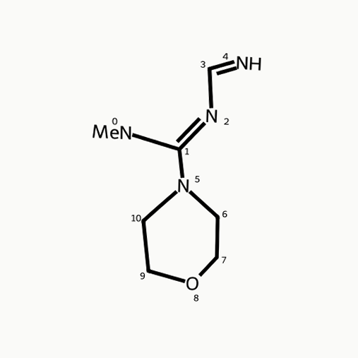 CN/C(=N\C=N)N1CCOCC1